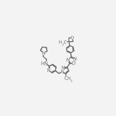 Cc1cc(-c2nc(-c3ccc(C4(C)COC4)cc3)no2)nn1Cc1ccc(NCCN2CCCC2)nc1